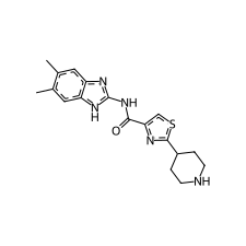 Cc1cc2nc(NC(=O)c3csc(C4CCNCC4)n3)[nH]c2cc1C